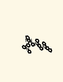 c1ccc(-n2c3ccccc3c3cc(-c4nc5ccccc5nc4-c4cccc(-n5c6ccccc6c6cc7c(-n8c9ccccc9c9cc%10ccccc%10cc98)cccc7cc65)c4)ccc32)cc1